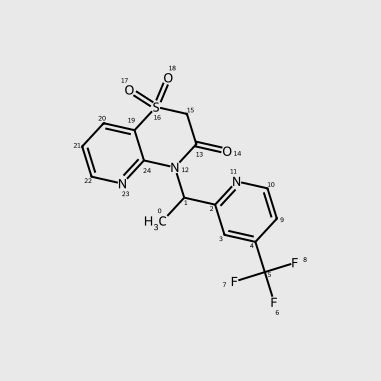 CC(c1cc(C(F)(F)F)ccn1)N1C(=O)CS(=O)(=O)c2cccnc21